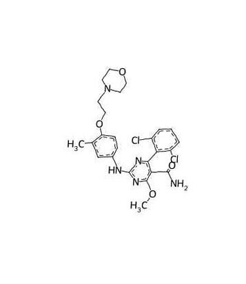 COc1nc(Nc2ccc(OCCN3CCOCC3)c(C)c2)nc(-c2c(Cl)cccc2Cl)c1C(N)=O